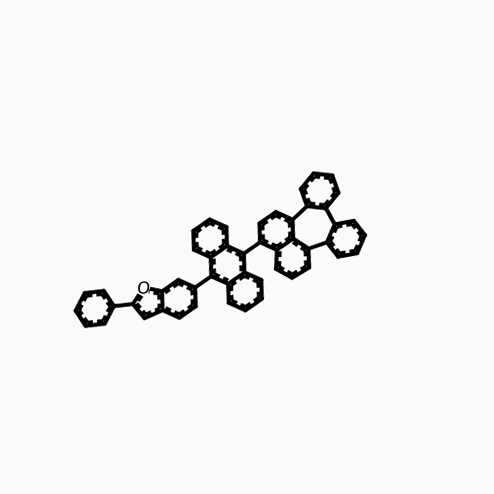 c1ccc(-c2cc3ccc(-c4c5ccccc5c(-c5ccc6c7c(cccc57)-c5ccccc5-c5ccccc5-6)c5ccccc45)cc3o2)cc1